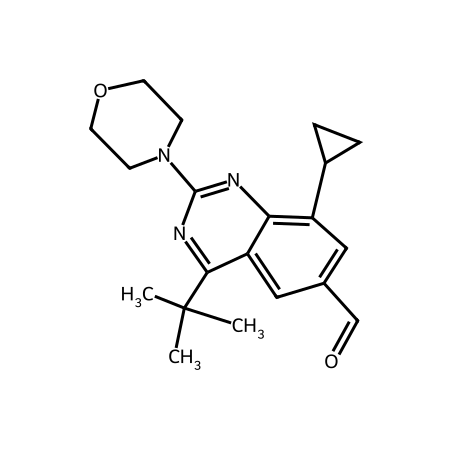 CC(C)(C)c1nc(N2CCOCC2)nc2c(C3CC3)cc(C=O)cc12